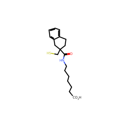 O=C(O)CCCCCCNC(=O)C1(CS)CCc2ccccc2C1